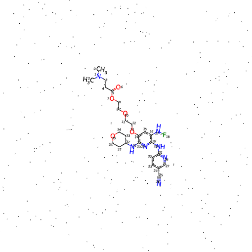 CN(C)CCC(=O)OCCOCCOc1cc(NF)c(Nc2ccc(C#N)cn2)nc1NC1CCOCC1